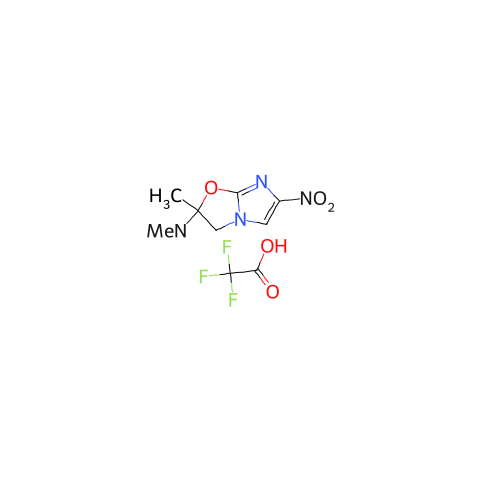 CNC1(C)Cn2cc([N+](=O)[O-])nc2O1.O=C(O)C(F)(F)F